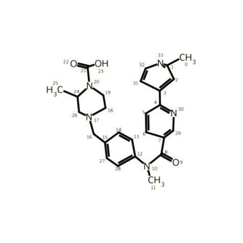 Cc1cc(-c2ccc(C(=O)N(C)c3ccc(CN4CCN(C(=O)O)C(C)C4)cc3)cn2)ccn1